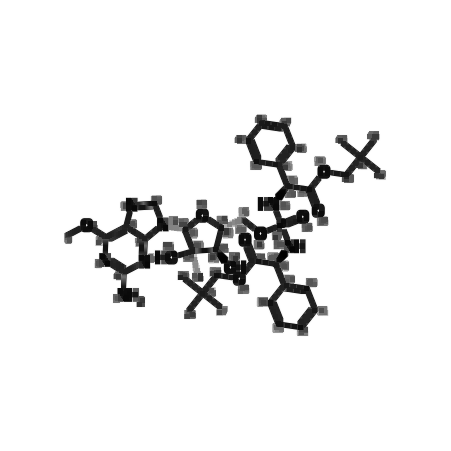 COc1nc(N)nc2c1ncn2[C@@H]1O[C@H](COP(=O)(N[C@H](C(=O)OCC(C)(C)C)c2ccccc2)N[C@H](C(=O)OCC(C)(C)C)c2ccccc2)[C@@H](O)[C@@]1(C)O